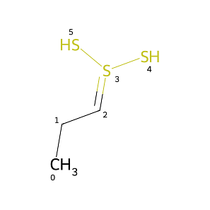 CCC=S(S)S